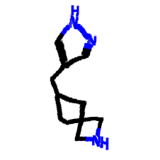 c1n[nH]cc1CC1CC2(CNC2)C1